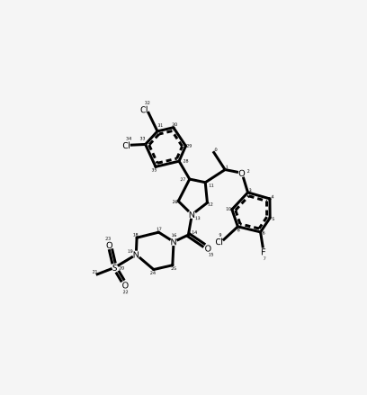 CC(Oc1ccc(F)c(Cl)c1)C1CN(C(=O)N2CCN(S(C)(=O)=O)CC2)CC1c1ccc(Cl)c(Cl)c1